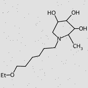 CCOCCCCCCN1CC(O)C(O)C(O)C1C